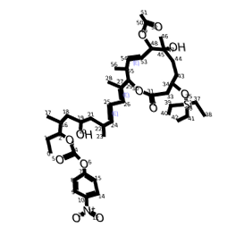 CCC(OC(=O)Oc1ccc([N+](=O)[O-])cc1)C(C)CC(O)CC(C)/C=C/C=C(\C)C1OC(=O)CC(O[Si](CC)(CC)CC)CCC(C)(O)C(OC(C)=O)/C=C/C1C